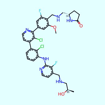 COc1cc(-c2nccc(-c3cccc(Nc4nccc(CNC[C@@H](C)O)c4F)c3Cl)c2Cl)cc(F)c1CNC[C@@H]1CCC(=O)N1